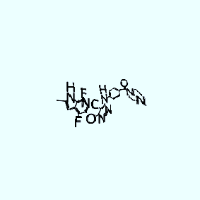 Cc1cc2c(F)c(Oc3ncnc(Nc4ccc(C(=O)N5CCN(C)CC5)cc4)c3C#N)cc(F)c2[nH]1